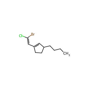 CCCCC1C=C(C=C(Cl)Br)CC1